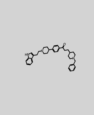 O=C(CCC1CCN(Cc2ccccc2)CC1)c1ccc(C2CCN(CCc3c[nH]c4ccccc34)CC2)cc1